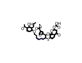 CCCc1c(OCC/C=C\C=C\[C@H](Sc2ccc3c(=O)cc(OC(=O)O)oc3c2)[C@H](O)c2cc(C(=O)OC)co2)ccc(C(C)=O)c1O